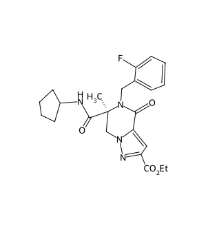 CCOC(=O)c1cc2n(n1)C[C@@](C)(C(=O)NC1CCCC1)N(Cc1ccccc1F)C2=O